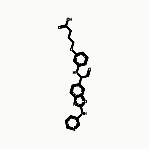 O=CC(Nc1cccc(OCCCC(=O)O)c1)c1ccc2nc(Nc3cccnc3)oc2c1